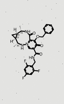 C[C@@H]1NC(=O)c2c(OCc3ccccc3)c(=O)c(C(=O)NCc3c(F)cc(F)cc3F)cn2N[C@H](C)[C@H]2C[C@H]21